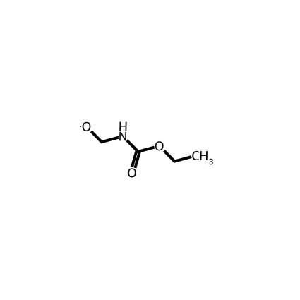 CCOC(=O)NC[O]